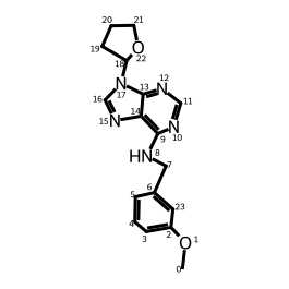 COc1cccc(CNc2ncnc3c2ncn3C2CCCO2)c1